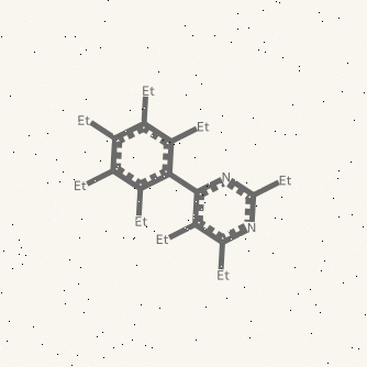 CCc1nc(CC)c(CC)c(-c2c(CC)c(CC)c(CC)c(CC)c2CC)n1